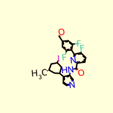 C[C@@H]1CC(I)CC(c2ccncc2NC(=O)c2ccc(F)c(-c3c(F)cc(C=O)cc3F)n2)C1